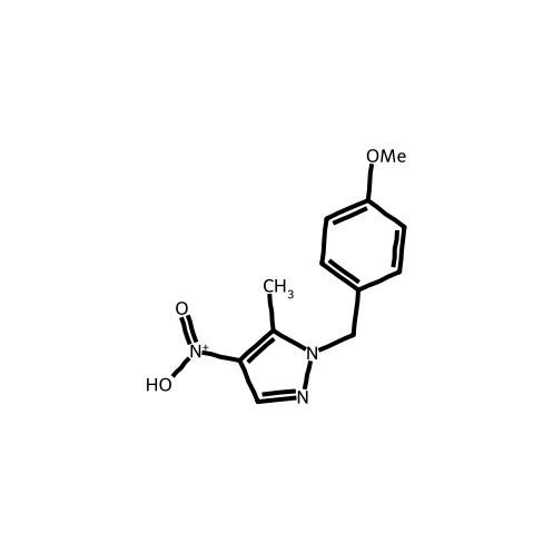 COc1ccc(Cn2ncc([N+](=O)O)c2C)cc1